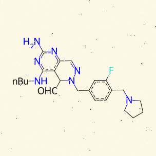 CCCCNc1nc(N)nc2c1C(C=O)N(Cc1ccc(CN3CCCC3)c(F)c1)N=C2